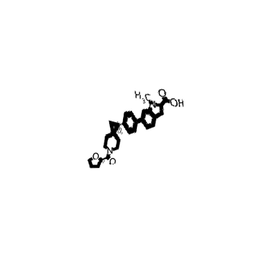 CN1c2cc(-c3ccc([C@H]4CC45CCN(C(=O)[C@H]4CCCO4)CC5)cc3)ccc2CC1C(=O)O